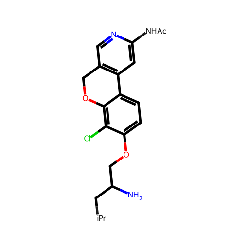 CC(=O)Nc1cc2c(cn1)COc1c-2ccc(OCC(N)CC(C)C)c1Cl